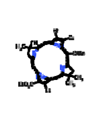 CCOC(=O)c1c(CC)c2cc3nc(c(OC)c4[nH]c(cc5nc(cc1[nH]2)CC5(C)C)c(CC)c4CC)CC3(C)C